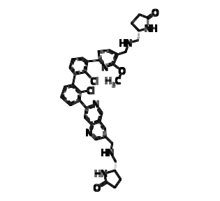 COc1nc(-c2cccc(-c3cccc(-c4cc5ncc(CNC[C@@H]6CCC(=O)N6)cc5cn4)c3Cl)c2Cl)ccc1CNC[C@@H]1CCC(=O)N1